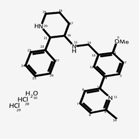 COc1ccc(-c2cccc(C)n2)cc1CNC1CCCNC1c1ccccc1.Cl.Cl.O